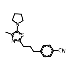 Cc1nc(CCCc2ccc(C#N)cc2)sc1N1CCCC1